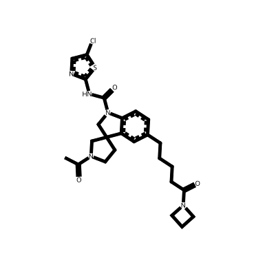 CC(=O)N1CCC2(C1)CN(C(=O)Nc1ncc(Cl)s1)c1ccc(CCCCC(=O)N3CCC3)cc12